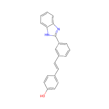 Oc1ccc(/C=C/c2cccc(-c3nc4ccccc4[nH]3)c2)cc1